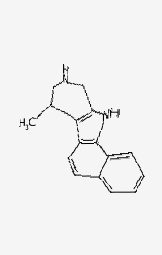 CC1CNCc2[nH]c3c(ccc4ccccc43)c21